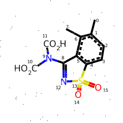 Cc1ccc2c(c1C)C(N(C(=O)O)C(=O)O)=NS2(=O)=O